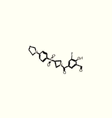 O=Cc1cc(C(=O)N2CC(S(=O)(=O)c3ccc(N4CCCC4)cc3)C2)cc(F)c1O